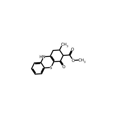 COC(=O)C1C(=O)C2=C(CC1C)Nc1ccccc1S2